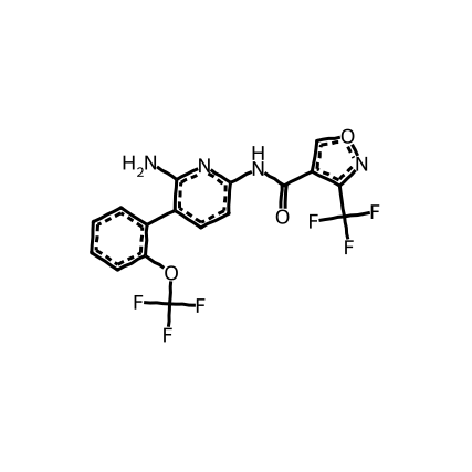 Nc1nc(NC(=O)c2conc2C(F)(F)F)ccc1-c1ccccc1OC(F)(F)F